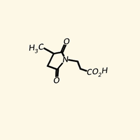 CC1CC(=O)N(CCC(=O)O)C1=O